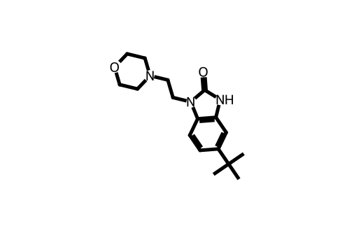 CC(C)(C)c1ccc2c(c1)[nH]c(=O)n2CCN1CCOCC1